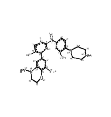 CC(C)c1cc(Nc2ncc(F)c(-c3cc(F)c4c(c3)N(C(C)C)CCO4)n2)ccc1N1CCNCC1